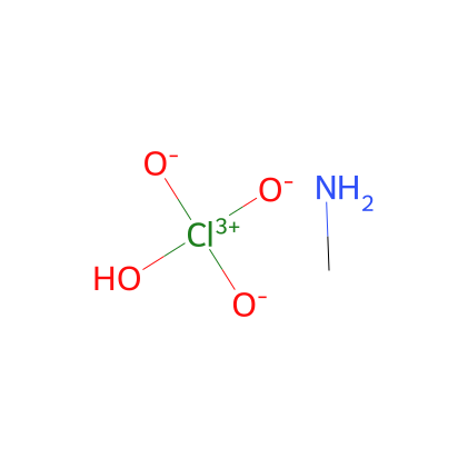 CN.[O-][Cl+3]([O-])([O-])O